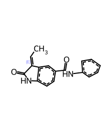 C/C=C1/C(=O)Nc2ccc(C(=O)Nc3ccccc3)cc21